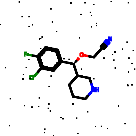 N#CCO[C@@H](c1ccc(F)c(Cl)c1)C1CCCNC1